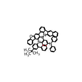 CC(C)(C)c1ccc(N2c3ccc(N(c4ccccc4)c4ccccc4)cc3B3c4c(cc5oc6ccccc6c5c42)-c2cccc4c5cc6ccccc6cc5n3c24)c(-c2ccccc2)c1